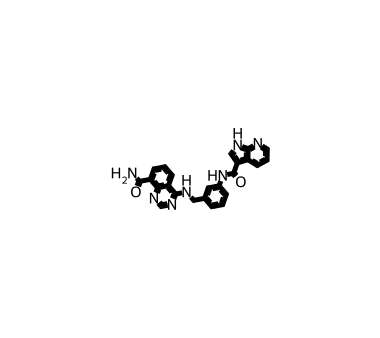 NC(=O)c1cccc2c(NCc3cccc(NC(=O)c4c[nH]c5ncccc45)c3)ncnc12